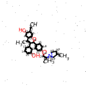 C#Cc1cc2c(cc1O)C(C)=C(c1cccc(O)c1)C(c1ccc(OC[C@H](C)N3CC[C@@H](C)C3)cc1)O2